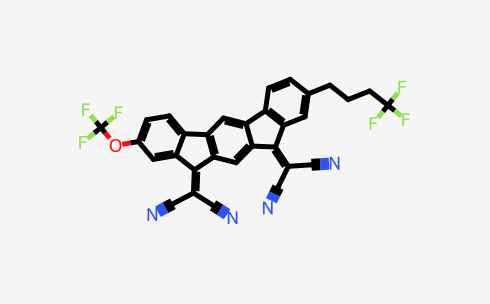 N#CC(C#N)=C1c2cc(CCCC(F)(F)F)ccc2-c2cc3c(cc21)C(=C(C#N)C#N)c1cc(OC(F)(F)F)ccc1-3